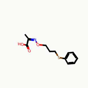 CC(=NOCCCSc1ccccc1)C(=O)O